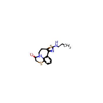 CCCNc1nc2c(s1)CCN1C(=O)CSc3cccc-2c31